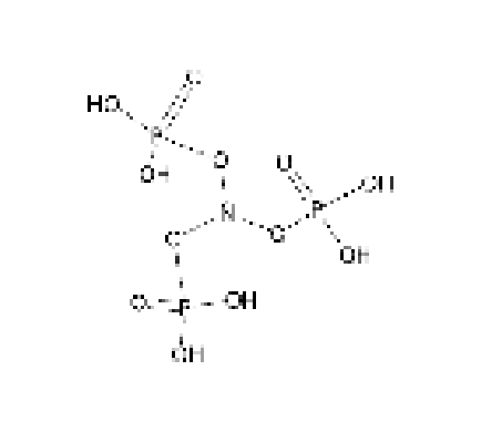 O=P(O)(O)ON(OP(=O)(O)O)OP(=O)(O)O